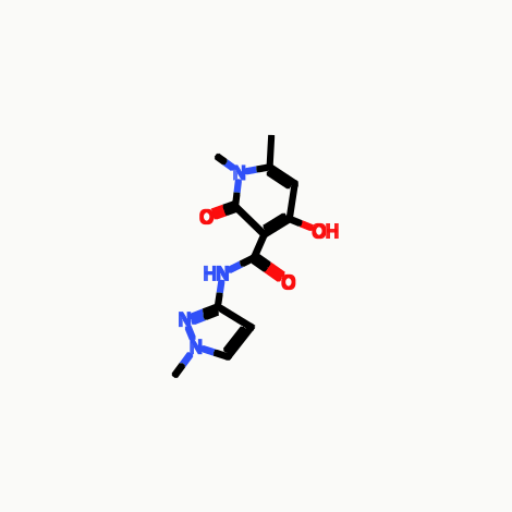 Cc1cc(O)c(C(=O)Nc2ccn(C)n2)c(=O)n1C